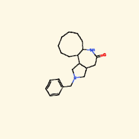 O=C1CC2CN(Cc3ccccc3)CC2C2CCCCCCCC2N1